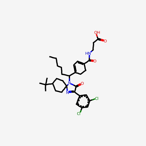 CCCCCC(C1=CC=C(C(=O)NCCC(=O)O)CC1)N1C(=O)C(c2cc(Cl)cc(Cl)c2)=NC12CCC(C(C)(C)C)CC2